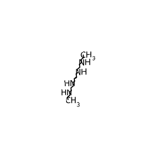 CCCNCCCNCC=CCNCCCNCCC